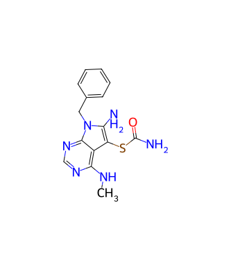 CNc1ncnc2c1c(SC(N)=O)c(N)n2Cc1ccccc1